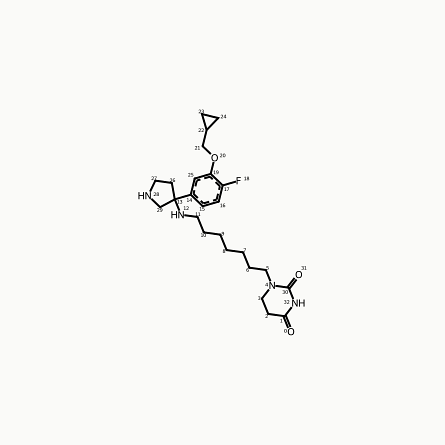 O=C1CCN(CCCCCCCNC2(c3ccc(F)c(OCC4CC4)c3)CCNC2)C(=O)N1